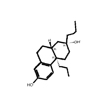 CCC[C@@]1(O)CC[C@@]2(CCC)c3ccc(O)cc3CC[C@@H]2C1